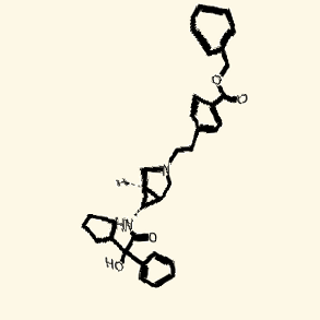 O=C(OCc1ccccc1)c1ccc(CCN2CC3[C@H](C2)[C@H]3NC(=O)C(O)(c2ccccc2)C2CCCC2)cc1